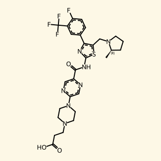 C[C@@H]1CCCN1Cc1sc(NC(=O)c2cnc(N3CCN(CCC(=O)O)CC3)cn2)nc1-c1ccc(F)c(C(F)(F)F)c1